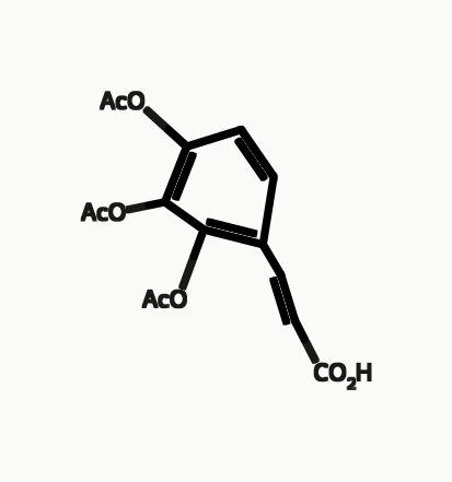 CC(=O)Oc1ccc(C=CC(=O)O)c(OC(C)=O)c1OC(C)=O